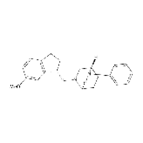 COc1ccc2c(c1)[C@@H](CN1C[C@@H]3CCC1CN3c1ccccc1)CC2